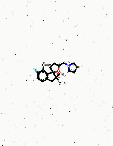 COc1c(F)ccc2c1C1(CCC(CN3CCCC3)O1)C(C)(C)C2